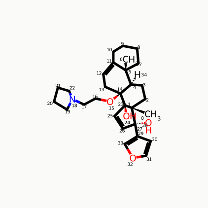 C[C@]12CC[C@@H]3[C@@]4(C)CCCCC4=CC[C@@]3(OCCN3CCCC3)[C@@]1(O)C=C[C@]2(O)c1ccoc1